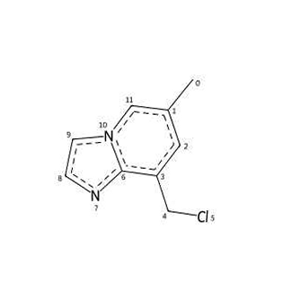 Cc1cc(CCl)c2nccn2c1